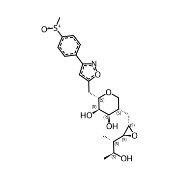 C[C@H]([C@@H]1O[C@H]1C[C@H]1CO[C@@H](Cc2cc(-c3ccc([S+](C)[O-])cc3)no2)[C@H](O)[C@@H]1O)[C@H](C)O